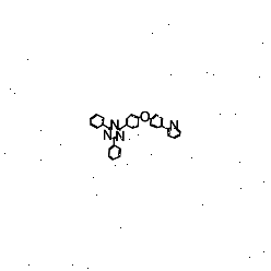 c1ccc(-c2nc(-c3ccccc3)nc(-c3ccc(Oc4ccc(-c5ccccn5)cc4)cc3)n2)cc1